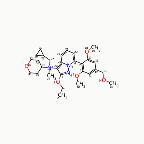 CCOc1nn2c(-c3c(OC)cc(COC)cc3OC)cccc2c1[N+](C)(CC1CC1)C1CCOCC1